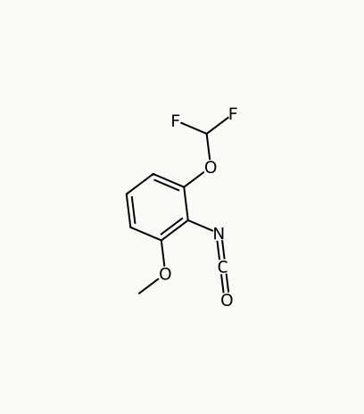 COc1cccc(OC(F)F)c1N=C=O